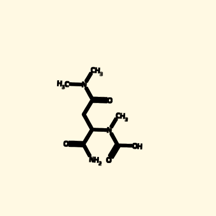 CN(C)C(=O)CC(C(N)=O)N(C)C(=O)O